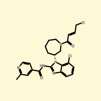 Cc1cc(C(=O)Nc2nc3cccc(Cl)c3n2[C@@H]2CCCCN(C(=O)/C=C/CCl)C2)ccn1